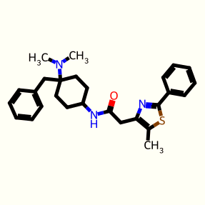 Cc1sc(-c2ccccc2)nc1CC(=O)NC1CCC(Cc2ccccc2)(N(C)C)CC1